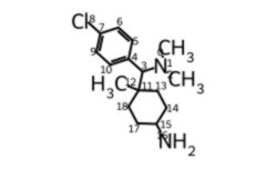 CN(C)C(c1ccc(Cl)cc1)C1(C)CCC(N)CC1